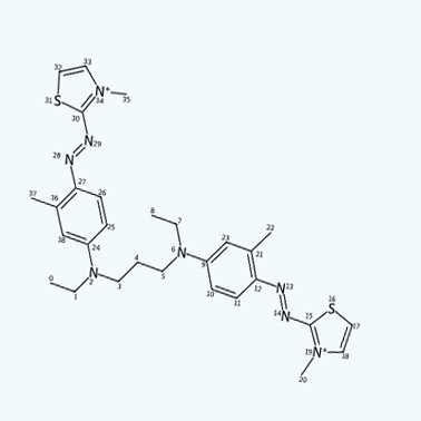 CCN(CCCN(CC)c1ccc(N=Nc2scc[n+]2C)c(C)c1)c1ccc(N=Nc2scc[n+]2C)c(C)c1